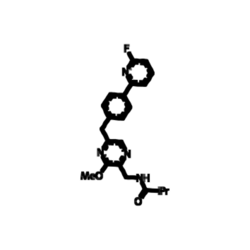 COc1nc(Cc2ccc(-c3cccc(F)n3)cc2)cnc1CNC(=O)C(C)C